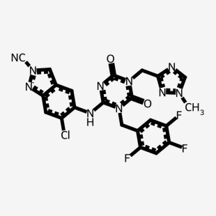 Cn1cnc(Cn2c(=O)nc(Nc3cc4cn(C#N)nc4cc3Cl)n(Cc3cc(F)c(F)cc3F)c2=O)n1